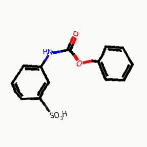 O=C(Nc1cccc(S(=O)(=O)O)c1)Oc1ccccc1